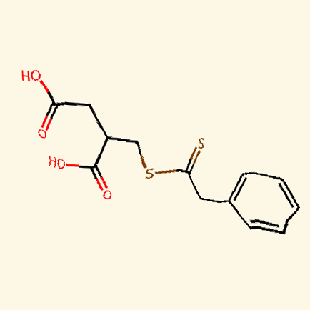 O=C(O)CC(CSC(=S)Cc1ccccc1)C(=O)O